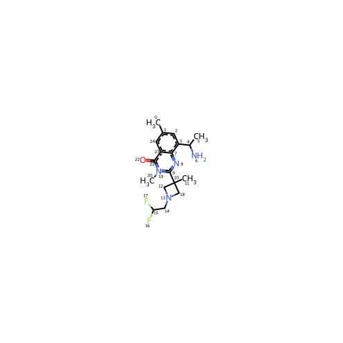 Cc1cc(C(C)N)c2nc(C3(C)CN(CC(F)F)C3)n(C)c(=O)c2c1